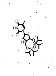 Cc1cn(C2CC3O[Si](C(C)C)(C(C)C)O[Si](C(C)C)(C(C)C)OC[C@H]3C2)c(=O)[nH]c1=O